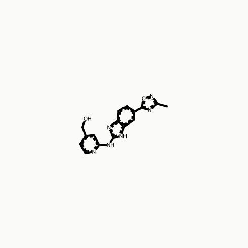 Cc1noc(-c2ccc3nc(Nc4cc(CO)ccn4)[nH]c3c2)n1